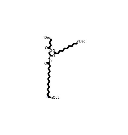 CCCCCCCC/C=C\CCCCCCCCCCCC(=O)OC[C@H](COC(=O)CCCCCCCCCCCCC)OC(=O)CCCCCCCCCCCCCCCCCCC